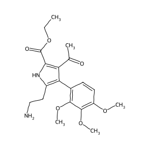 CCOC(=O)c1[nH]c(CCN)c(-c2ccc(OC)c(OC)c2OC)c1C(C)=O